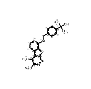 COc1nnc2sc3c(NCc4ccc(C(C)(C)O)cc4)ncnc3c2c1C